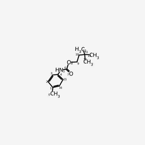 Cc1ccc(NC(=O)OCCC(C)(C)C)cc1